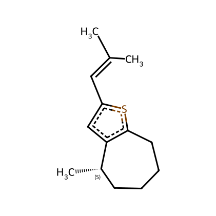 CC(C)=Cc1cc2c(s1)CCCC[C@@H]2C